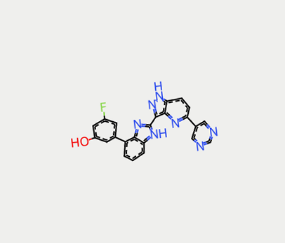 Oc1cc(F)cc(-c2cccc3[nH]c(-c4n[nH]c5ccc(-c6cncnc6)nc45)nc23)c1